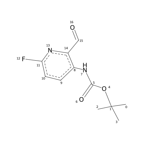 CC(C)(C)OC(=O)Nc1ccc(F)nc1C=O